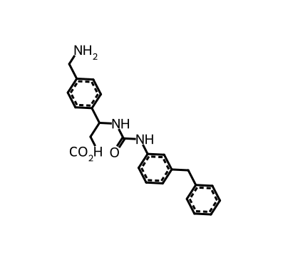 NCc1ccc(C(CC(=O)O)NC(=O)Nc2cccc(Cc3ccccc3)c2)cc1